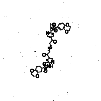 O=C(CSSCC(=O)c1cnc(NS(=O)(=O)c2ccc3c(c2)OCCO3)s1)c1cnc(NS(=O)(=O)c2ccc3c(c2)OCCO3)s1